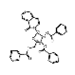 O=C(OC[C@H]1O[C@@H](n2ccc3ccccc3c2=S)[C@H](OC(=O)c2ccccc2)[C@H]1OC(=O)c1ccccc1)c1ccccc1